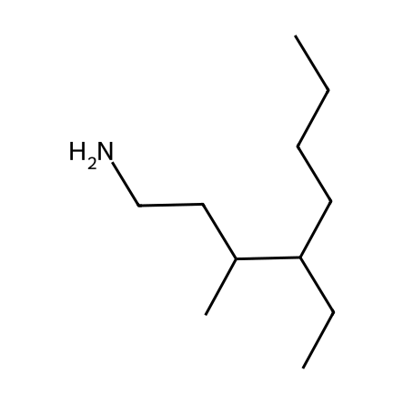 CCCCC(CC)C(C)CCN